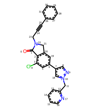 O=C1c2c(Cl)cc(-c3cnn(Cc4ccccn4)c3)cc2CN1CC#Cc1ccccc1